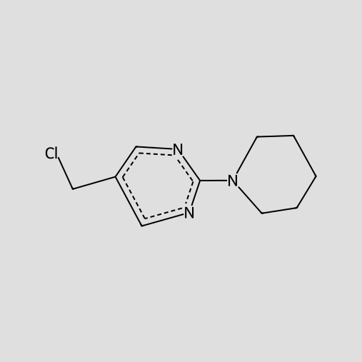 ClCc1cnc(N2CCCCC2)nc1